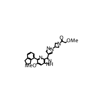 COCC(=O)N1CC(n2cc(-c3n[nH]c4cc(OC)c(-c5cccc6c5CCC6)nc34)cn2)C1